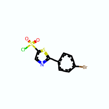 O=S(=O)(Cl)c1cnc(-c2ccc(Br)cc2)s1